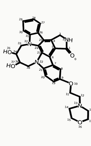 O=C1NCc2c1c1c3cc(OCCN4CCOCC4)ccc3n3c1c1c2c2ccccc2n1CC(O)C(O)C3